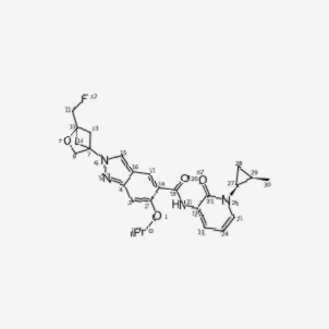 CC(C)Oc1cc2nn(C34COC(CF)(C3)C4)cc2cc1C(=O)Nc1cccn([C@H]2C[C@H]2C)c1=O